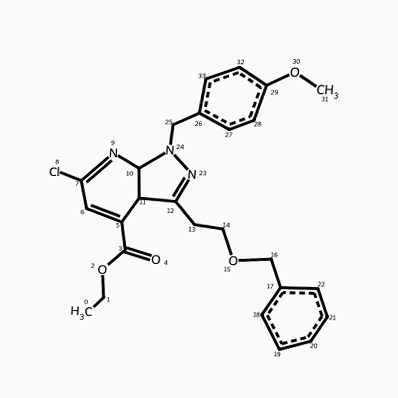 CCOC(=O)C1=CC(Cl)=NC2C1C(CCOCc1ccccc1)=NN2Cc1ccc(OC)cc1